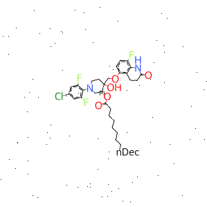 CCCCCCCCCCCCCCCCCC(=O)O[C@@H]1CN(c2c(F)cc(Cl)cc2F)CCC1(O)COc1ccc(F)c2c1CCC(=O)N2